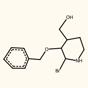 OCC1CCNC(Br)C1OCc1ccccc1